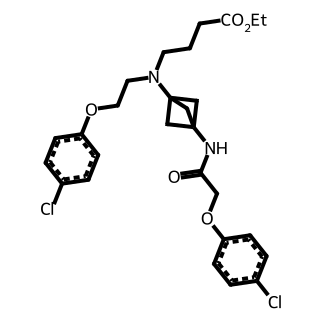 CCOC(=O)CCCN(CCOc1ccc(Cl)cc1)C12CC(NC(=O)COc3ccc(Cl)cc3)(C1)C2